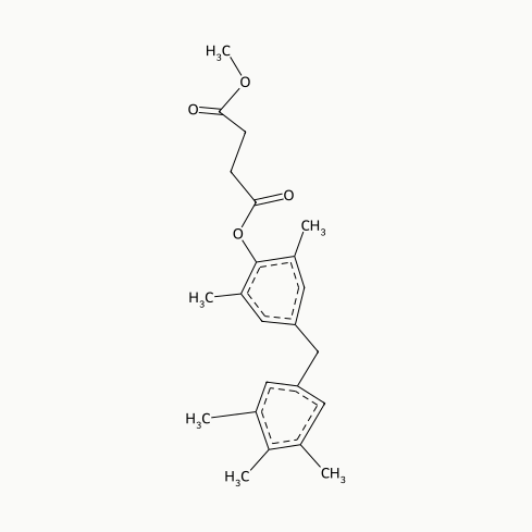 COC(=O)CCC(=O)Oc1c(C)cc(Cc2cc(C)c(C)c(C)c2)cc1C